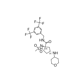 CS(=O)(=O)N[C@]1(C(=O)NCc2cc(C(F)(F)F)cc(C(F)(F)F)c2)CC[C@@H](NC2CCOCC2)C1